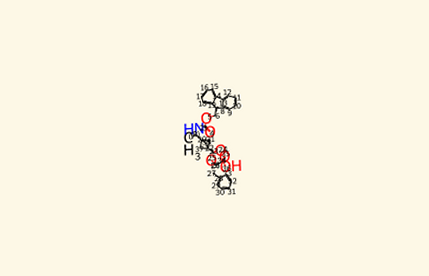 C[C@@H](NC(=O)OCC1c2ccccc2-c2ccccc21)C12CC(C(=O)O[C@@H](Cc3ccccc3)C(=O)O)(C1)C2